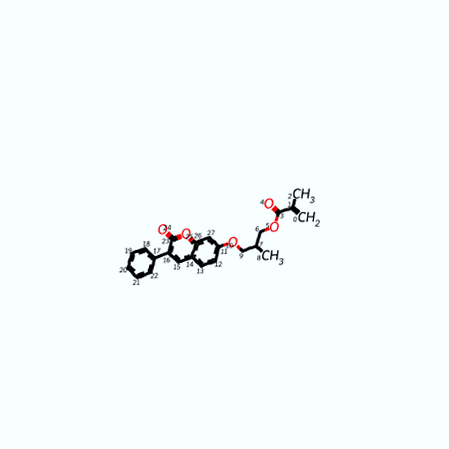 C=C(C)C(=O)OCC(C)COc1ccc2cc(-c3ccccc3)c(=O)oc2c1